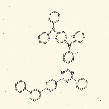 c1ccc(-c2cccc(-c3ccc(-c4nc(-c5ccccc5)nc(-c5ccc(-n6c7ccccc7c7cc8c(cc76)c6ccccc6n8-c6ccccc6)cc5)n4)cc3)c2)cc1